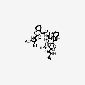 CCC[C@H](NC(=O)[C@@H]1C[C@@H]2CCCC[C@@H]2N1C(=O)[C@@H](NC(=O)C(NC(=O)c1cc(CC)c(C(C)=O)[nH]1)C1CCCCC1)C(C)(C)C)C(=O)C(=O)NC1CC1